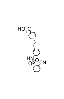 N#Cc1ccccc1S(=O)(=O)Nc1cccc(CCc2ccc(C(=O)O)cc2)c1